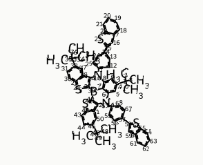 CC(C)(C)c1cc2c3c(c1)N(c1ccc(-c4cc5ccccc5s4)cc1)c1c(sc4ccc(C(C)(C)C)cc14)B3c1sc3ccc(C(C)(C)C)cc3c1N2c1ccc(-c2cc3ccccc3s2)cc1